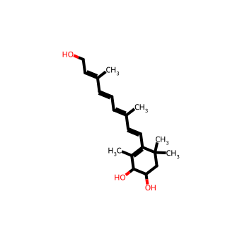 CC1=C(/C=C/C(C)=C/C=C/C(C)=C/CO)C(C)(C)CC(O)C1O